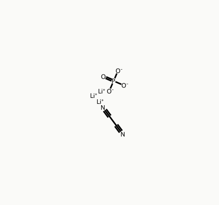 N#CC#N.O=P([O-])([O-])[O-].[Li+].[Li+].[Li+]